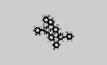 c1ccc(-c2cc(-c3ccccc3)nc(-c3ccc(-c4ccc5ccccc5c4-c4nc(-c5ccccc5)nc(-c5ccccc5)n4)cc3)c2)cc1